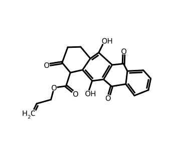 C=CCOC(=O)C1C(=O)CCc2c(O)c3c(c(O)c21)C(=O)c1ccccc1C3=O